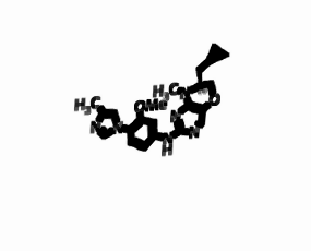 COc1cc(Nc2ncc3c(n2)N(C)[C@@H](CC2CC2)CO3)ccc1-n1cnc(C)c1